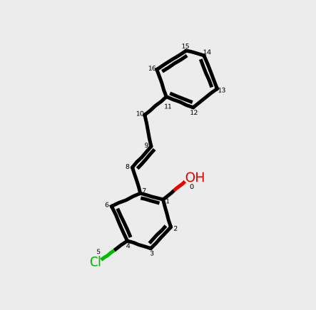 Oc1ccc(Cl)cc1C=CCc1ccccc1